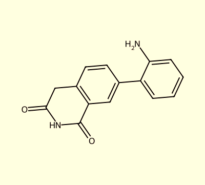 Nc1ccccc1-c1ccc2c(c1)C(=O)NC(=O)C2